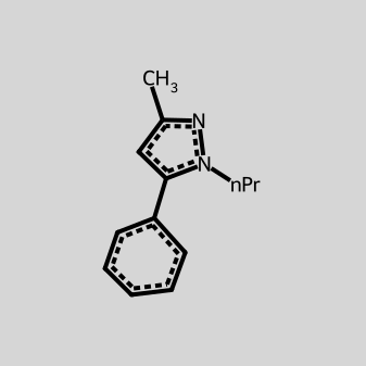 CCCn1nc(C)cc1-c1ccccc1